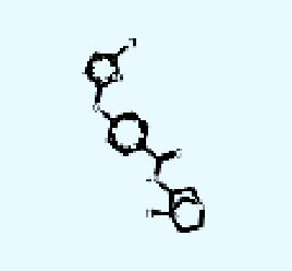 O=C(NC1CN2CC[C@H]1C2)c1ccc(Oc2ccc(Cl)o2)cc1